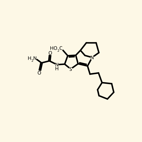 NC(=O)C(=O)NC1SC2=C(CCC3CCCCC3)N3CCCC(C3)C2=C1C(=O)O